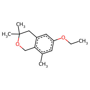 CCOc1cc(C)c2c(c1)CC(C)(C)OC2